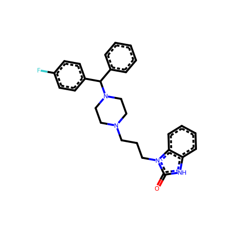 O=c1[nH]c2ccccc2n1CCCN1CCN(C(c2ccccc2)c2ccc(F)cc2)CC1